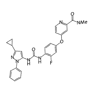 CNC(=O)c1cc(Oc2ccc(NC(=O)Nc3cc(C4CC4)nn3-c3ccccc3)c(F)c2)ccn1